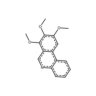 COc1cc2c(cnc3ccccc32)c(OC)c1OC